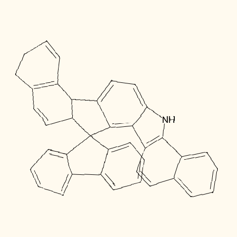 C1=CC2=C(C=CC3C2c2ccc4[nH]c5c6ccccc6ccc5c4c2C32c3ccccc3-c3ccccc32)CC1